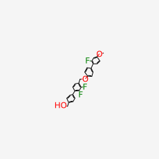 COc1ccc(-c2ccc(OCc3ccc(-c4ccc(CO)cc4)c(F)c3F)cc2)c(F)c1